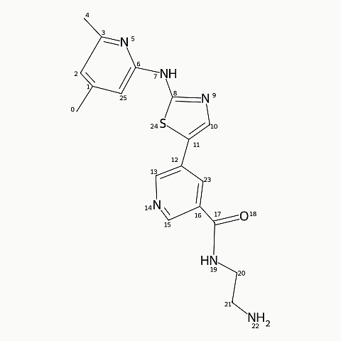 Cc1cc(C)nc(Nc2ncc(-c3cncc(C(=O)NCCN)c3)s2)c1